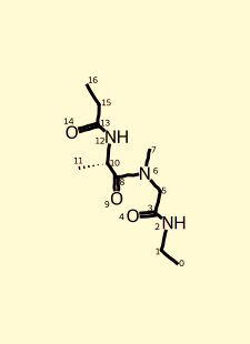 CCNC(=O)CN(C)C(=O)[C@H](C)NC(=O)CC